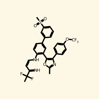 Cc1nc(-c2ccc(OC(F)(F)F)cc2)c(-c2cc(-c3cccc(S(C)(=O)=O)c3)ccc2N/C=C\C(=N)C(C)(F)F)o1